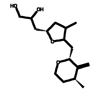 C=C1[C@H](C)CCO[C@@H]1CC1O[C@H](CC(O)CO)CC1C